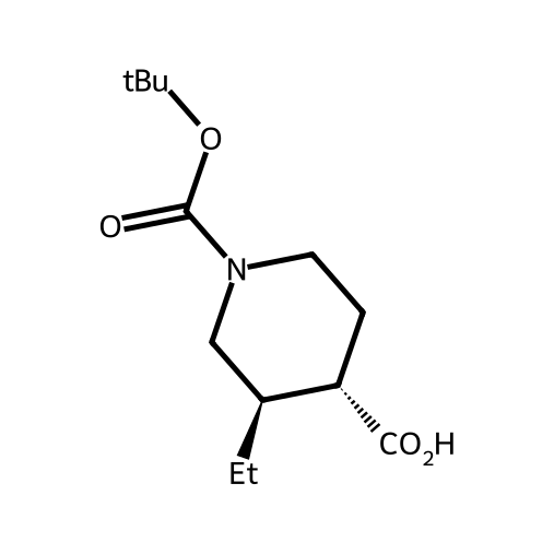 CC[C@H]1CN(C(=O)OC(C)(C)C)CC[C@@H]1C(=O)O